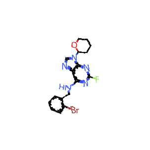 Fc1nc(NCc2ccccc2Br)c2ncn(C3CCCCO3)c2n1